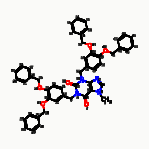 Cn1cnc2c1c(=O)n(Cc1ccc(OCc3ccccc3)c(OCc3ccccc3)c1)c(=O)n2Cc1ccc(OCc2ccccc2)c(OCc2ccccc2)c1